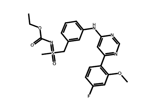 CCOC(=O)N=S(C)(=O)Cc1cccc(Nc2cc(-c3ccc(F)cc3OC)ncn2)c1